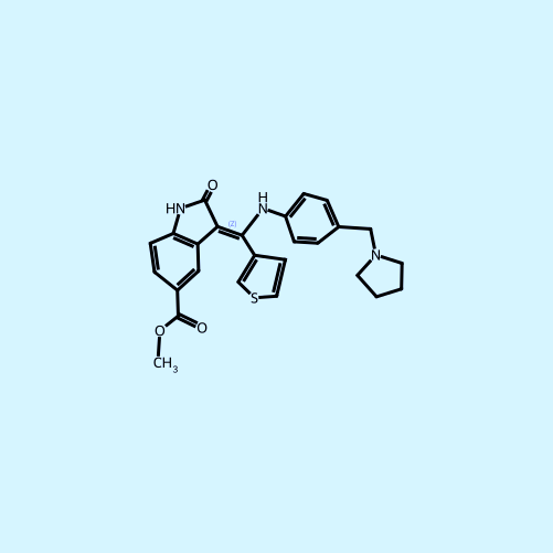 COC(=O)c1ccc2c(c1)/C(=C(/Nc1ccc(CN3CCCC3)cc1)c1ccsc1)C(=O)N2